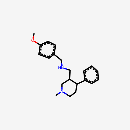 COc1ccc(CNCC2CN(C)CCC2c2ccccc2)cc1